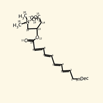 CCCCCCCCCCCC=CC=CC=CC=CC(=O)OC(CC(=O)[O-])C[N+](C)(C)C